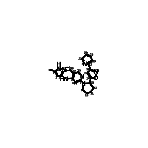 Cc1cc(Nc2nc(N3CCCCC3c3cc(-c4ccccn4)no3)ncc2Cl)n[nH]1